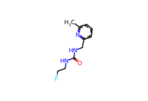 Cc1cccc(CNC(=O)NCCF)n1